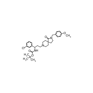 COc1ccc(CN2CCC3(CCN(CCC(NC(=O)OC(C)(C)C)c4cccc(Cl)c4)CC3)C2=O)cc1